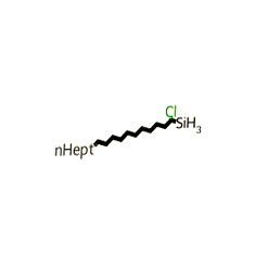 CCCCCCCCCCCCCCCCCC([SiH3])Cl